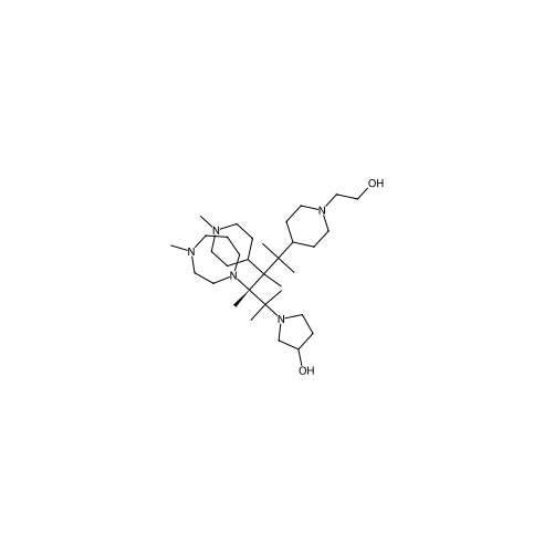 CN1CCC(C(C)(C(C)(C)C2CCN(CCO)CC2)[C@@](C)(N2CCCN(C)CC2)C(C)(C)N2CCC(O)C2)CC1